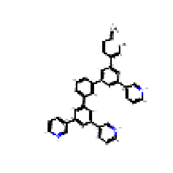 C=C/C=C\C(=C/C)c1cc(-c2cccnc2)cc(-c2cccc(-c3cc(-c4cccnc4)cc(-c4cccnc4)c3)c2)c1